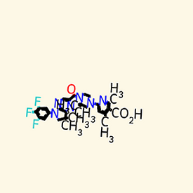 Cc1cc(N2CCN(C(=O)c3cnc4c(n3)C(C)(C)CN4c3cc(F)c(F)c(F)c3)C(C)(C)C2)nc(C)c1C(=O)O